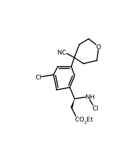 CCOC(=O)C[C@H](NCl)c1cc(Cl)cc(C2(C#N)CCOCC2)c1